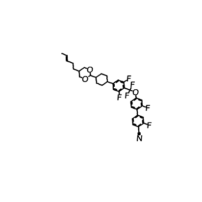 C/C=C/CCC1COC(C2CCC(c3cc(F)c(C(F)(F)Oc4ccc(-c5ccc(C#N)c(F)c5)c(F)c4)c(F)c3)CC2)OC1